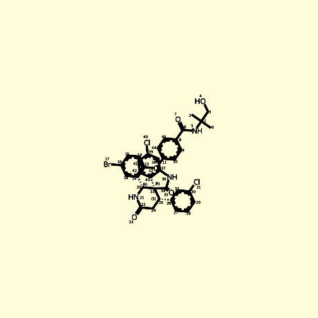 CC(C)(CO)NC(=O)c1ccc(Oc2ccc(Br)cc2[C@H]2NC(=O)C[C@@H](c3cccc(Cl)c3)[C@]23C(=O)Nc2cc(Cl)ccc23)cc1